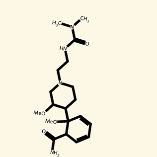 COC1CN(CCNC(=O)N(C)C)CCC1C1(OC)C=CC=CC1C(N)=O